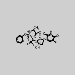 CC(N[P@](=O)(Oc1ccccc1)OC([C@H]1O[C@@H](n2cc(F)c(=O)[nH]c2=O)C[C@@H]1O)C(F)(F)F)C(=O)O